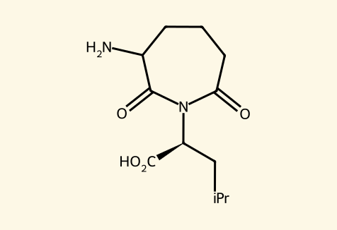 CC(C)C[C@@H](C(=O)O)N1C(=O)CCCC(N)C1=O